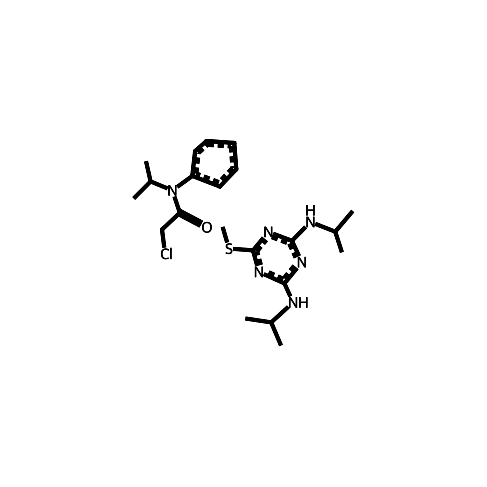 CC(C)N(C(=O)CCl)c1ccccc1.CSc1nc(NC(C)C)nc(NC(C)C)n1